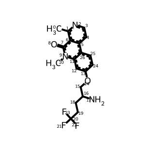 Cc1nccc2c1c(=O)n(C)c1cc(OCC(N)CCC(F)(F)F)ccc21